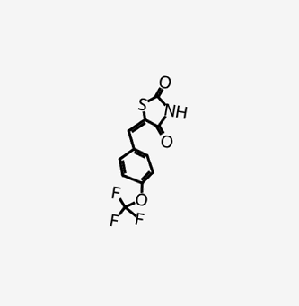 O=C1NC(=O)/C(=C\c2ccc(OC(F)(F)F)cc2)S1